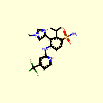 CC(C)c1c(S(N)(=O)=O)ccc(Nc2cc(C(F)(F)F)ccn2)c1-c1cn(C)cn1